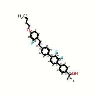 C=CCCOc1ccc(/C=C/c2ccc(-c3ccc(-c4ccc(C(C)O)cc4)c(F)c3F)cc2)c(F)c1